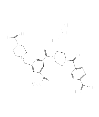 COC(=O)c1cc(CN2CCN(C(=N)N)CC2)cc(C(=O)N2CCN(C(=O)c3ccc(C(=N)N)cc3)CC2)c1.Cl.Cl.Cl.Cl.Cl